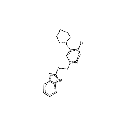 CCc1cnc(CSc2cc3ccccc3[nH]2)cc1N1CCCCC1